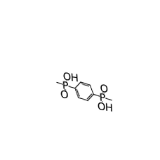 CP(=O)(O)c1ccc(P(C)(=O)O)cc1